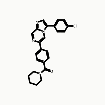 O=C(c1ccc(-c2cn3c(-c4ccc(Cl)cc4)cnc3cn2)cc1)N1CCCCC1